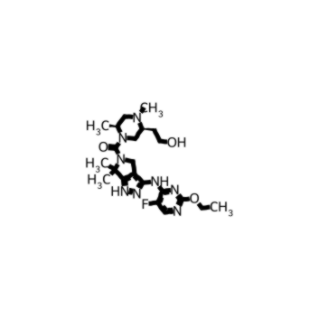 CCOc1ncc(F)c(Nc2n[nH]c3c2CN(C(=O)N2C[C@H](CCO)N(C)C[C@@H]2C)C3(C)C)n1